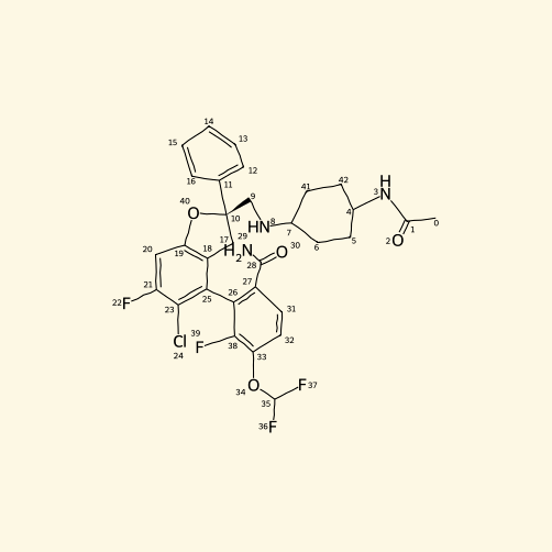 CC(=O)NC1CCC(NC[C@@]2(c3ccccc3)Cc3c(cc(F)c(Cl)c3-c3c(C(N)=O)ccc(OC(F)F)c3F)O2)CC1